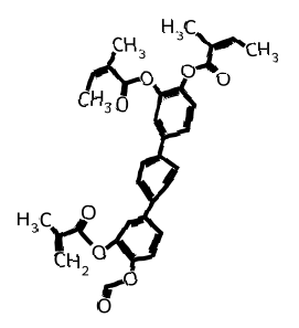 C=C(C)C(=O)Oc1cc(-c2ccc(-c3ccc(OC(=O)/C(C)=C\C)c(OC(=O)/C(C)=C\C)c3)cc2)ccc1OC=O